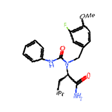 COc1ccc(CN(C(=O)Nc2ccccc2)[C@H](CC(C)C)C(N)=O)cc1F